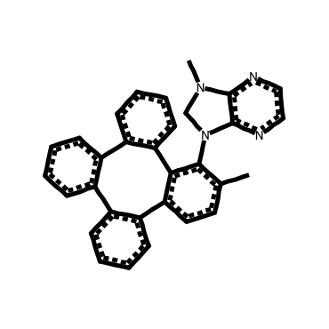 Cc1ccc2c(c1N1CN(C)c3nccnc31)-c1ccccc1-c1ccccc1-c1ccccc1-2